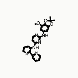 COc1cc(Nc2nccc(Nc3cccnc3-c3ccccn3)n2)cc2c1OC(C)(C)O2